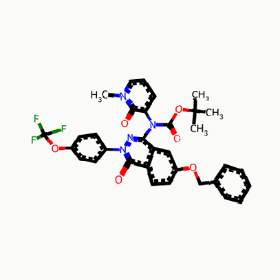 Cn1cccc(N(C(=O)OC(C)(C)C)c2nn(-c3ccc(OC(F)(F)F)cc3)c(=O)c3ccc(OCc4ccccc4)cc23)c1=O